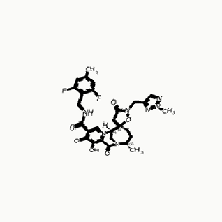 Cc1cc(F)c(CNC(=O)c2cn3c(c(O)c2=O)C(=O)N2C[C@@H]3[C@]3(CC[C@@H]2C)CC(=O)N(Cc2cnn(C)n2)O3)c(F)c1